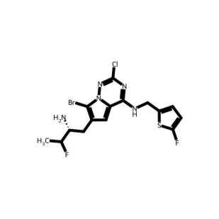 CC(F)[C@H](N)Cc1cc2c(NCc3ccc(F)s3)nc(Cl)nn2c1Br